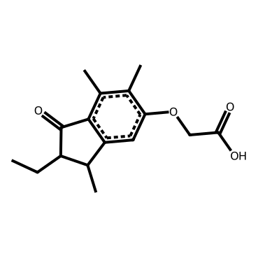 CCC1C(=O)c2c(cc(OCC(=O)O)c(C)c2C)C1C